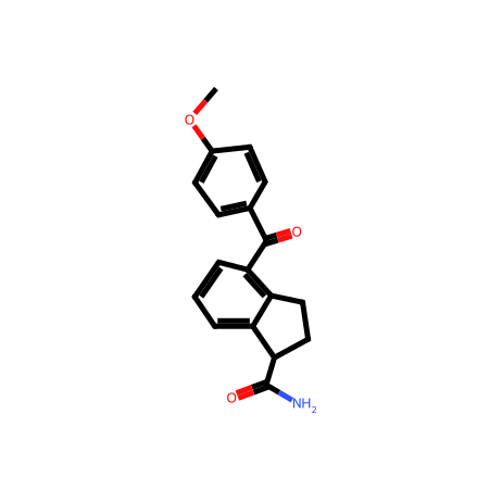 COc1ccc(C(=O)c2cccc3c2CCC3C(N)=O)cc1